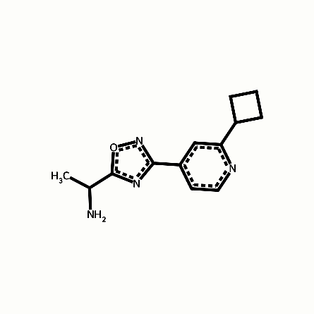 CC(N)c1nc(-c2ccnc(C3CCC3)c2)no1